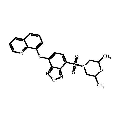 CC1CN(S(=O)(=O)c2ccc(Sc3cccc4cccnc34)c3nonc23)CC(C)O1